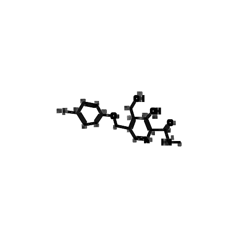 CNC(=O)c1ncc(COc2ccc(F)cc2)c(CO)c1O